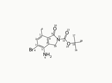 Cc1cc(Br)c(N)c2c1C(=O)N(C(=O)OC(C)(C)C)C2